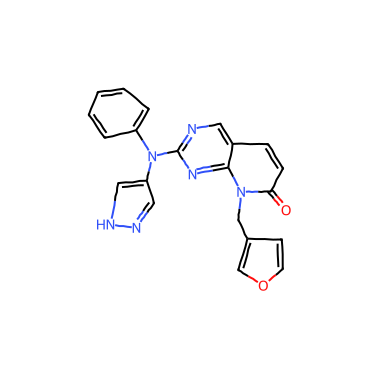 O=c1ccc2cnc(N(c3ccccc3)c3cn[nH]c3)nc2n1Cc1ccoc1